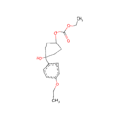 CCOC(=O)OC1CCC(O)(c2ccc(OCC)cc2)CC1